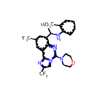 CC(Nc1ccccc1C(=O)O)c1cc(C(F)(F)F)cc2c1nc(N1CCOCC1)n1cc(C(F)(F)F)nc21